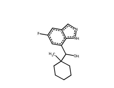 CC1(C(O)c2cc(F)cc3cn[nH]c23)CCCCC1